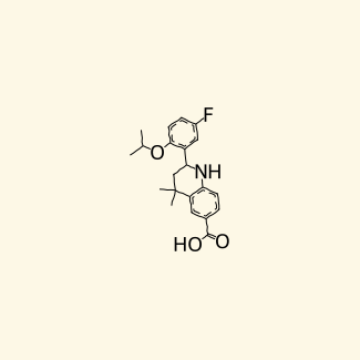 CC(C)Oc1ccc(F)cc1C1CC(C)(C)c2cc(C(=O)O)ccc2N1